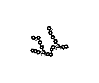 c1ccc2cc3cc4c(cc3cc2c1)nc1c2sc3cc5cccc(-c6ccc7ccc8c(nc9c%10sc%11cc%12ccccc%12cc%11c%10cc(-c%10ccc(-c%11ccc(-c%12ccc%13c(c%12)oc%12ccccc%12%13)cc%11)cc%10)n89)c7c6)c5cc3c2cc(-c2ccc(-c3ccc(-c5cccc6c5oc5ccccc56)cc3)cc2)n41